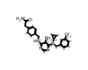 NC(=O)CC1=CC=C(CNc2ncnc(N(Cc3cccc(C(F)(F)F)c3)C3CC3)c2P)CC1